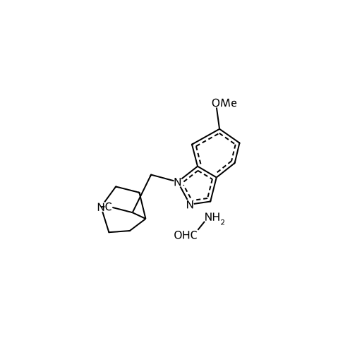 COc1ccc2cnn(CC3CN4CCC3CC4)c2c1.NC=O